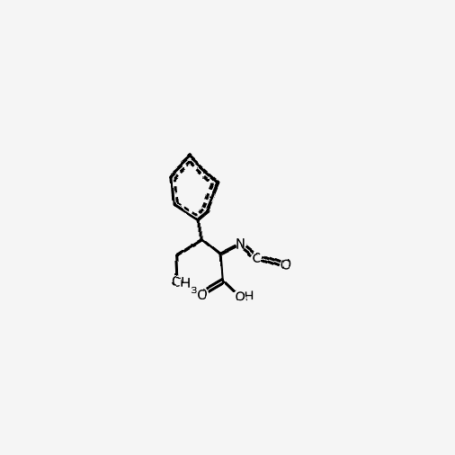 CCC(c1ccccc1)C(N=C=O)C(=O)O